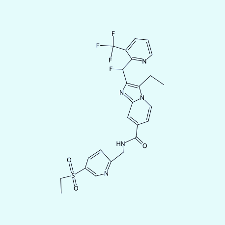 CCc1c(C(F)c2ncccc2C(F)(F)F)nc2cc(C(=O)NCc3ccc(S(=O)(=O)CC)cn3)ccn12